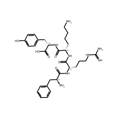 N=C(N)NCCC[C@H](NC(=O)[C@@H](N)Cc1ccccc1)C(=O)N[C@@H](CCCCN)C(=O)N[C@@H](Cc1ccc(O)cc1)C(=O)O